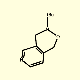 CC(C)(C)N1Cc2cnccc2CO1